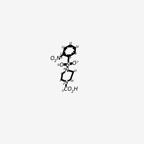 O=C(O)N1CCN(S(=O)(=O)c2ccccc2[N+](=O)[O-])CC1